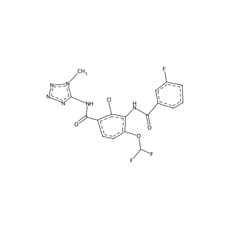 Cn1nnnc1NC(=O)c1ccc(OC(F)F)c(NC(=O)c2cccc(F)c2)c1Cl